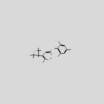 [2H]C([2H])([2H])C([2H])(c1cc(Oc2c(Cl)cc(N)cc2Cl)nnc1Cl)C([2H])([2H])[2H]